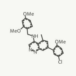 COc1ccc(CNc2cnnc3cc(-c4cc(Cl)ccc4OC)cc(C)c23)c(OC)c1